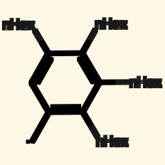 [CH2]c1cc(CCCCCC)c(CCCCCC)c(CCCCCC)c1CCCCCC